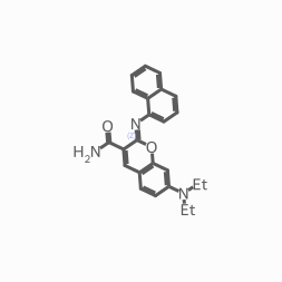 CCN(CC)c1ccc2cc(C(N)=O)/c(=N/c3cccc4ccccc34)oc2c1